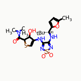 Cc1ccc([C@H](NC2=NS(=O)(=O)N=C2NC2=CSC(C(=O)N(C)C)C2O)C(C)(C)C)o1